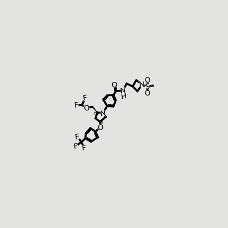 CS(=O)(=O)N1CC(CNC(=O)c2ccc(N3C[C@@H](Oc4ccc(C(F)(F)F)cc4)C[C@H]3COC(F)F)cc2)C1